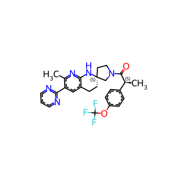 Cc1nc2c(cc1-c1ncccn1)CC[C@@]1(CCN(C(=O)[C@@H](C)c3ccc(OC(F)(F)F)cc3)C1)N2